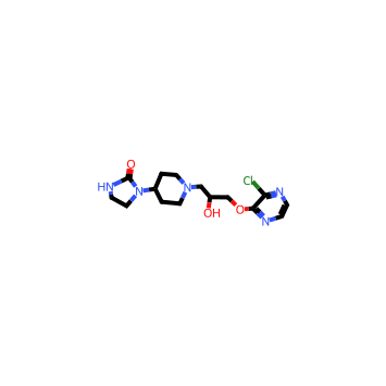 O=C1NCCN1C1CCN(CC(O)COc2nccnc2Cl)CC1